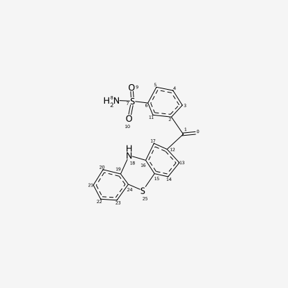 C=C(c1cccc(S(N)(=O)=O)c1)c1ccc2c(c1)Nc1ccccc1S2